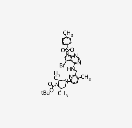 Cc1ccc(S(=O)(=O)n2cc(Br)c3c(NCc4nc(N5C[C@@H](C)N(C(=O)OC(C)(C)C)[C@@H](C)C5)ccc4C)ncnc32)cc1